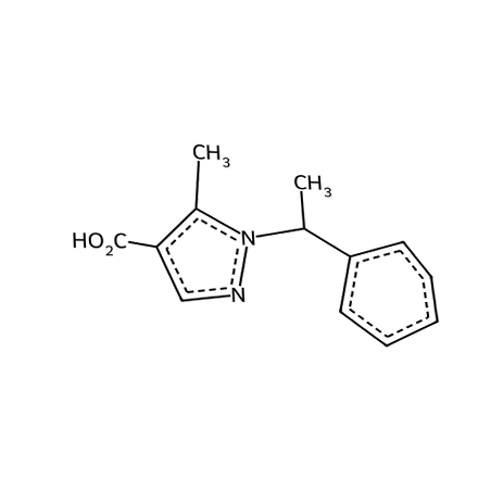 Cc1c(C(=O)O)cnn1C(C)c1ccccc1